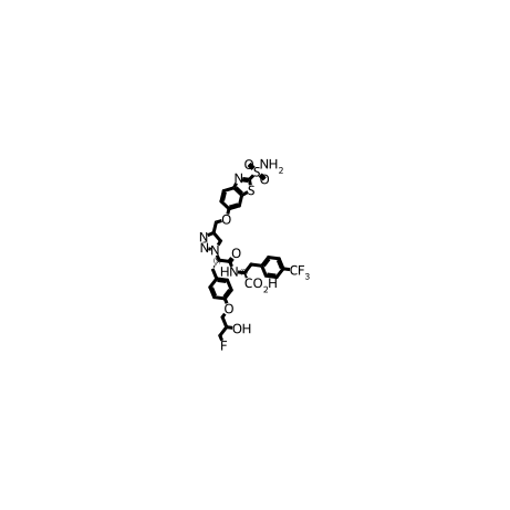 NS(=O)(=O)c1nc2ccc(OCC3CN([C@@H](Cc4ccc(OCC(O)CF)cc4)C(=O)N[C@@H](Cc4ccc(C(F)(F)F)cc4)C(=O)O)N=N3)cc2s1